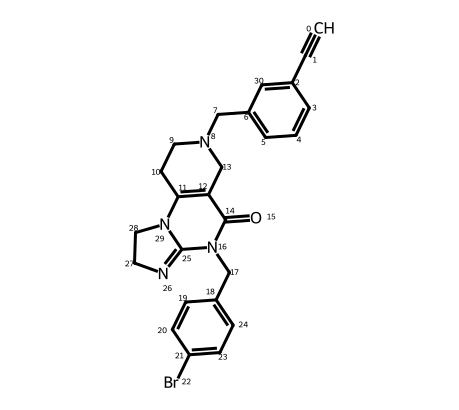 C#Cc1cccc(CN2CCC3=C(C2)C(=O)N(Cc2ccc(Br)cc2)C2=NCCN23)c1